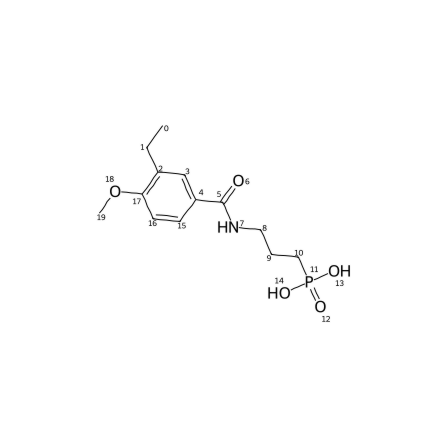 CCc1cc(C(=O)NCCCP(=O)(O)O)ccc1OC